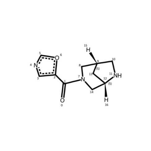 O=C(c1cnco1)N1C[C@@H]2CN[C@@H](C2)C1